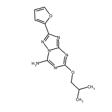 CC(C)COc1nc(N)n2nc(-c3ccco3)nc2n1